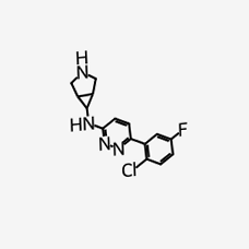 Fc1ccc(Cl)c(-c2ccc(NC3C4CNCC43)nn2)c1